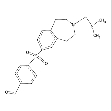 CN(C)CN1CCc2ccc(S(=O)(=O)c3ccc(C=O)cc3)cc2CC1